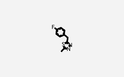 Cc1nnc(Cc2ccc(F)cc2)s1